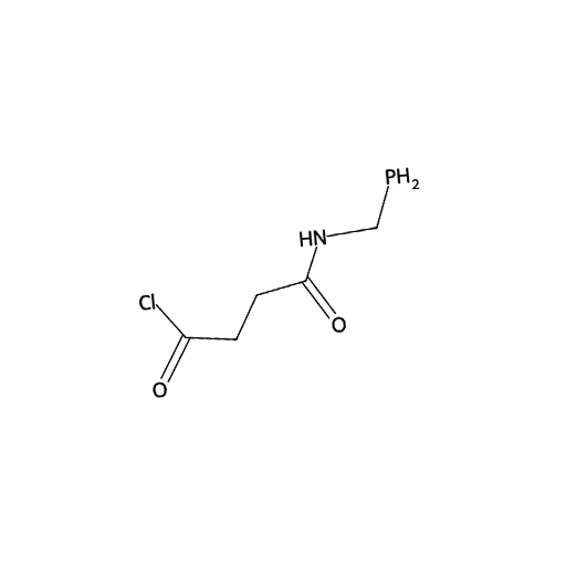 O=C(Cl)CCC(=O)NCP